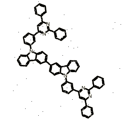 c1ccc(-c2cc(-c3cccc(-n4c5ccccc5c5cc(-c6ccc7c(c6)c6ccccc6n7-c6cccc(-c7cc(-c8ccccc8)nc(-c8ccccc8)n7)c6)ccc54)c3)nc(-c3ccccc3)n2)cc1